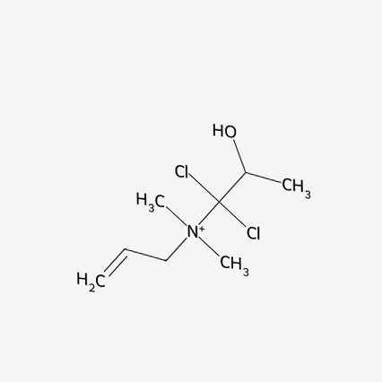 C=CC[N+](C)(C)C(Cl)(Cl)C(C)O